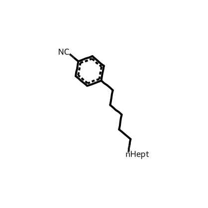 CCCCCCCCCCCCc1ccc(C#N)cc1